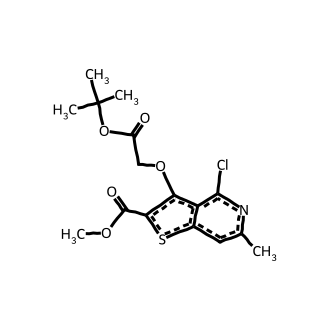 COC(=O)c1sc2cc(C)nc(Cl)c2c1OCC(=O)OC(C)(C)C